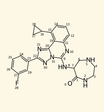 O=C1NCCNCC1Nc1nc2cccc(C3CC3)c2c2nc(-c3cccc(F)c3)nn12